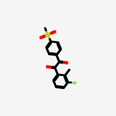 Cc1c(F)cccc1C(=O)C(=O)c1ccc(S(C)(=O)=O)cc1